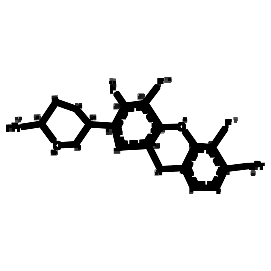 CCCc1ccc2c(c1F)Oc1c(cc(C3CCC(CCC)OC3)c(F)c1F)C2